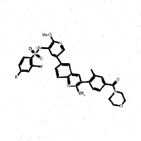 COc1ncc(-c2ccc3nc(N)c(-c4ccc(C(=O)N5CCOCC5)cc4C)cc3c2)cc1NS(=O)(=O)c1ccc(F)cc1F